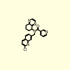 O=C(c1cccnc1)N(Cc1ccc2ccc(Cl)nc2c1)C1CCCc2nccnc21